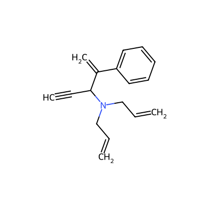 C#CC(C(=C)c1ccccc1)N(CC=C)CC=C